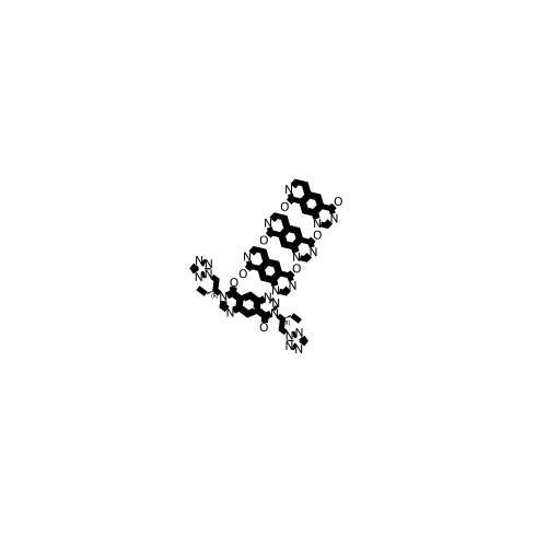 CC[C@H](Cn1ncnn1)n1cnc2cc3c(=O)n([C@H](CC)Cn4ncnn4)nnc3cc2c1=O.O=C1N=CC=c2cc3c(cc21)=NC=NC3=O.O=C1N=CC=c2cc3c(cc21)=NC=NC3=O.O=C1N=CC=c2cc3c(cc21)=NC=NC3=O